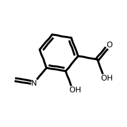 C=Nc1cccc(C(=O)O)c1O